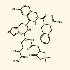 CNC(=O)C(O)CC[C@H](NC(=O)CC1CC(C)(C)OC1=O)C(=O)N[C@@H](Cc1c[nH]cn1)C(=O)N[C@@H](Cc1ccc(O)cc1)C(=O)N1Cc2ccccc2C[C@H]1C(N)=O